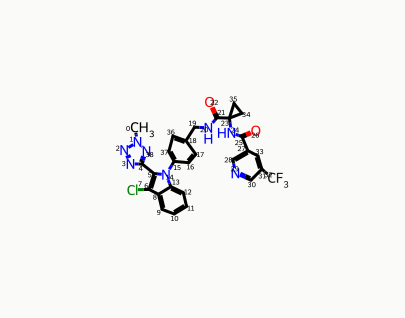 Cn1nnc(-c2c(Cl)c3ccccc3n2-c2ccc(CNC(=O)C3(NC(=O)c4cncc(C(F)(F)F)c4)CC3)cc2)n1